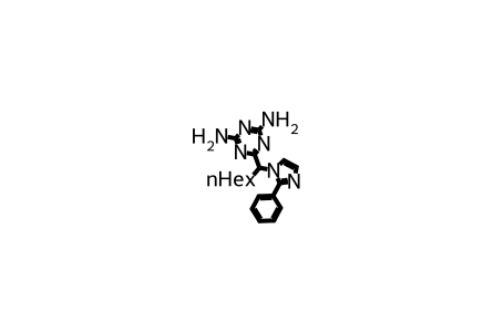 CCCCCCC(c1nc(N)nc(N)n1)n1ccnc1-c1ccccc1